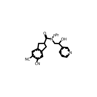 CCCN(CC(O)c1cccnc1)C(=O)C1Cc2cc(C#N)c(C#N)cc2C1